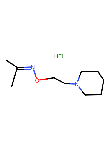 CC(C)=NOCCN1CCCCC1.Cl